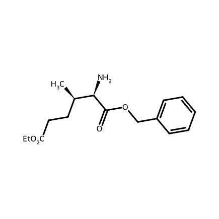 CCOC(=O)CC[C@@H](C)[C@@H](N)C(=O)OCc1ccccc1